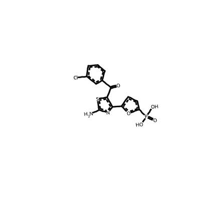 Nc1nc(-c2ccc(P(=O)(O)O)o2)c(C(=O)c2cccc(Cl)c2)s1